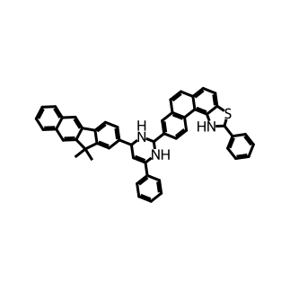 CC1(C)c2cc(C3C=C(c4ccccc4)NC(c4ccc5c(ccc6ccc7c(c65)NC(c5ccccc5)S7)c4)N3)ccc2-c2cc3ccccc3cc21